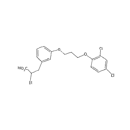 CCC(Cc1cccc(OCCCOc2ccc(Cl)cc2Cl)c1)C(=O)O